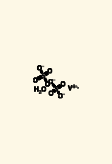 O.O=S(=O)([O-])[O-].O=S(=O)([O-])[O-].[V+4]